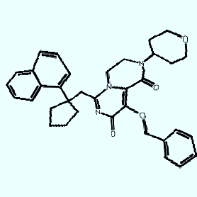 O=C1c2c(OCc3ccccc3)c(=O)nc(CC3(c4cccc5ccccc45)CCCC3)n2CCN1C1CCOCC1